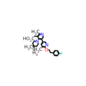 Cc1cc(-c2cnc(C)c(CC(=O)O)c2N2CCC(C)(C)CC2)cnc1OCCc1ccc(F)cc1